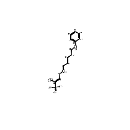 FC(F)(F)C(Cl)=CCOCCCCCOc1ccccc1